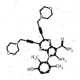 Cc1ccc(O)c(C)c1-n1c(N)c(C(N)=O)c2nc(C#CCN3CCOCC3)c(C#CCN3CCOCC3)nc21